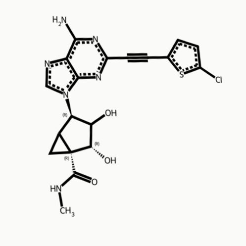 CNC(=O)[C@]12CC1[C@@H](n1cnc3c(N)nc(C#Cc4ccc(Cl)s4)nc31)C(O)[C@@H]2O